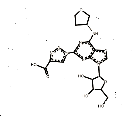 O=C(O)c1cn(-c2nc(N[C@@H]3CCOC3)c3ncn(C4OC(CO)C(O)C4O)c3n2)nn1